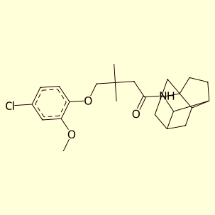 COc1cc(Cl)ccc1OCC(C)(C)CC(=O)NC1C2CC3CC34CCC1C4C2